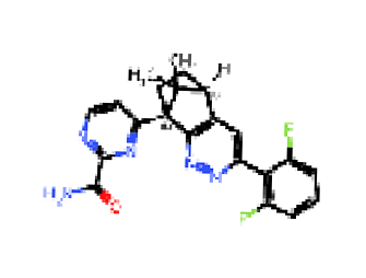 CC1(C)[C@H]2CC[C@@]1(c1ccnc(C(N)=O)n1)c1nnc(-c3c(F)cccc3F)cc12